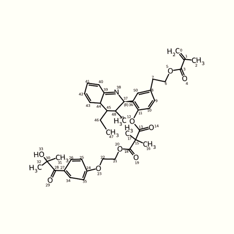 C=C(C)C(=O)OCCc1ccc(OC(=O)C(C)(C)C(=O)OCCOc2ccc(C(=O)C(C)(C)O)cc2)c([C@@H]2N=C3C=CC=CC3C(CC)C2C)c1